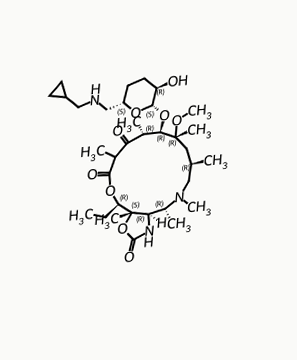 CC[C@H]1OC(=O)C(C)C(=O)[C@H](C)[C@@H](O[C@@H]2O[C@H](CNCC3CC3)CC[C@H]2O)[C@](C)(OC)C[C@@H](C)CN(C)[C@H](C)[C@H]2NC(=O)O[C@@]21C